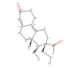 CCC[C@]1(C(C)=O)CCC2=C3CCC(=O)C=C3CC[C@H]2[C@@H]1CC